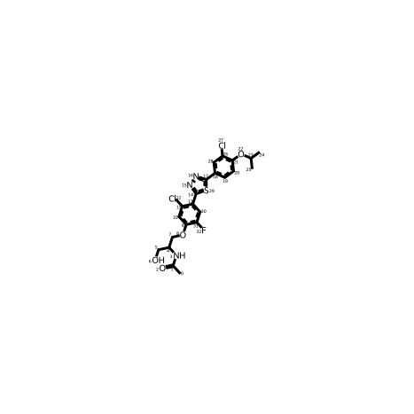 CC(=O)NC(CO)COc1cc(Cl)c(-c2nnc(-c3ccc(OC(C)C)c(Cl)c3)s2)cc1F